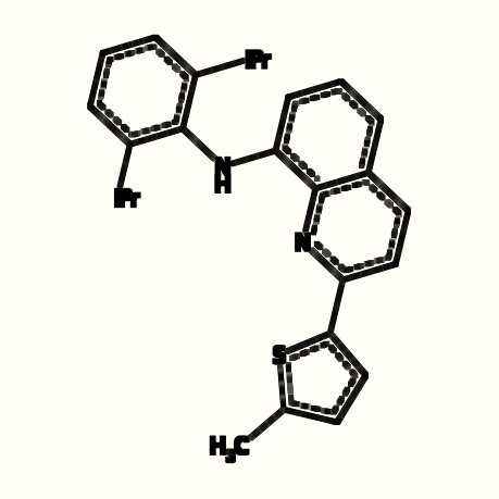 Cc1ccc(-c2ccc3cccc(Nc4c(C(C)C)cccc4C(C)C)c3n2)s1